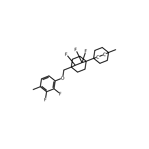 Cc1ccc(OCC23CCC(C45CCC(C)(CC4)CC5)(CC2)C(F)(F)C3F)c(F)c1F